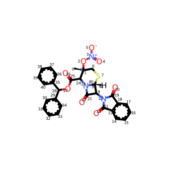 C[C@@]1(O[N+](=O)[O-])CS[C@@H]2C(N3C(=O)c4ccccc4C3=O)C(=O)N2C1C(=O)OC(c1ccccc1)c1ccccc1